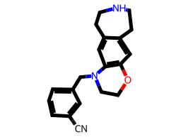 N#Cc1cccc(CN2CCOc3cc4c(cc32)CCNCC4)c1